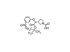 CC(C)(C)OC(=O)C(Oc1cccc([N+](=O)[O-])c1)[C@H]1CCN(C(=O)O)C1